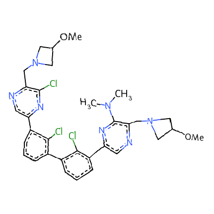 COC1CN(Cc2ncc(-c3cccc(-c4cccc(-c5cnc(CN6CC(OC)C6)c(N(C)C)n5)c4Cl)c3Cl)nc2Cl)C1